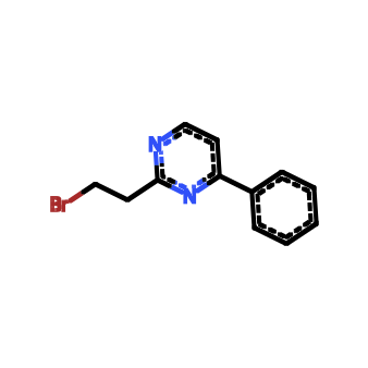 BrCCc1nccc(-c2ccccc2)n1